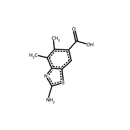 Cc1c(C(=O)O)cc2sc(N)nc2c1C